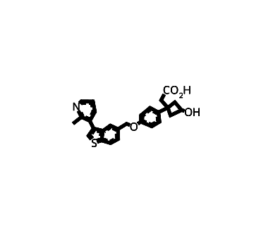 Cc1ncccc1-c1csc2ccc(COc3ccc(C4(CC(=O)O)CC(O)C4)cc3)cc12